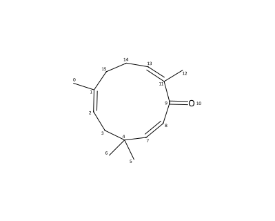 CC1=CCC(C)(C)C=CC(=O)C(C)=CCC1